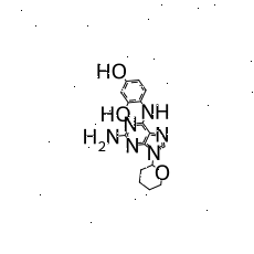 Nc1nc(Nc2ccc(O)cc2O)c2ncn(C3CCCCO3)c2n1